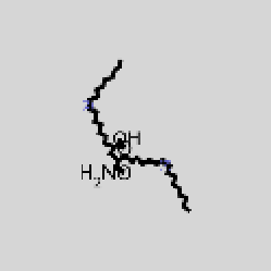 CCCCCCCC/C=C\CCCCCCC(CC(CCCCCC/C=C\CCCCCCCC)C(=O)O)C(N)=O